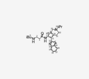 CCC(C)NCCC(=O)Nc1sc2c(c1-c1nc3ccccc3s1)CCN(C(C)C)C2